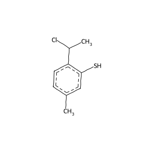 Cc1ccc(C(C)Cl)c(S)c1